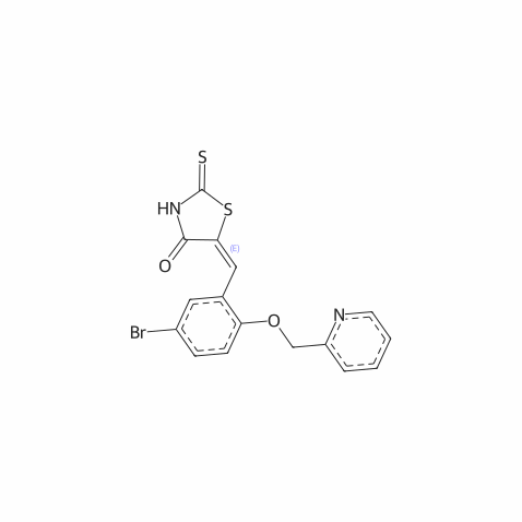 O=C1NC(=S)S/C1=C/c1cc(Br)ccc1OCc1ccccn1